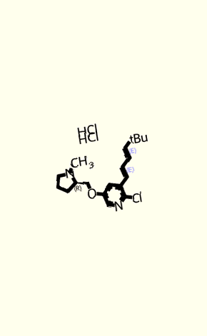 CN1CCC[C@@H]1COc1cnc(Cl)c(/C=C/C=C/C(C)(C)C)c1.Cl.Cl